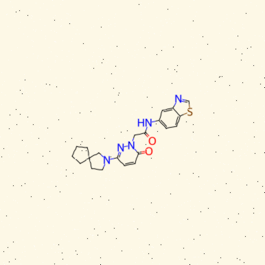 O=C(Cn1nc(N2CCC3(CCCC3)C2)ccc1=O)Nc1ccc2scnc2c1